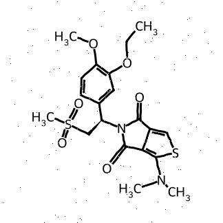 CCOc1cc([C@H](CS(C)(=O)=O)N2C(=O)c3csc(N(C)C)c3C2=O)ccc1OC